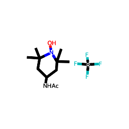 CC(=O)NC1CC(C)(C)N(O)C(C)(C)C1.F[B-](F)(F)F